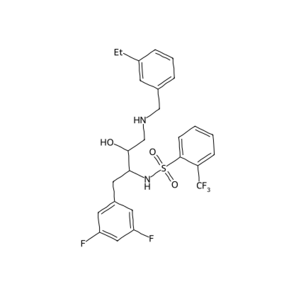 CCc1cccc(CNCC(O)C(Cc2cc(F)cc(F)c2)NS(=O)(=O)c2ccccc2C(F)(F)F)c1